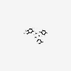 COc1cc(F)c(F)cc1Cn1c(Nc2cc3cn(C)nc3cc2Cl)nc(=O)n(-c2cncc(C)c2)c1=O